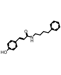 O=C(C=Cc1ccc(O)cc1)NCCCCc1ccccc1